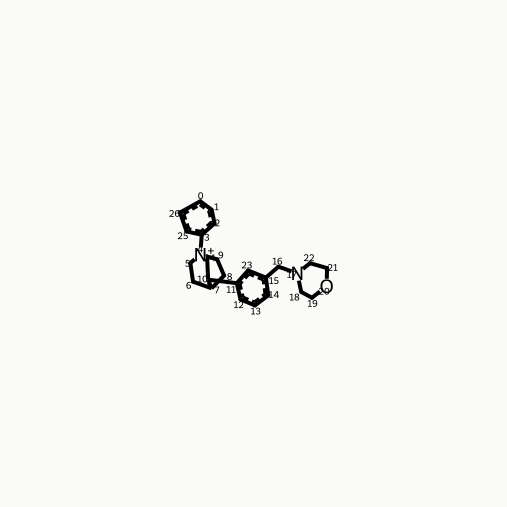 c1ccc([N+]23CCC(CC2)[C](c2cccc(CN4CCOCC4)c2)C3)cc1